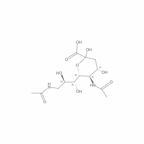 CC(=O)NC[C@@H](O)[C@@H](O)[C@@H]1OC(O)(C(=O)O)C[C@H](O)[C@H]1NC(C)=O